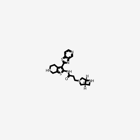 O=C(CCN1C[C@H]2CN[C@H]2C1)Nc1sc2c(c1-c1nc3cnccc3s1)CCNC2